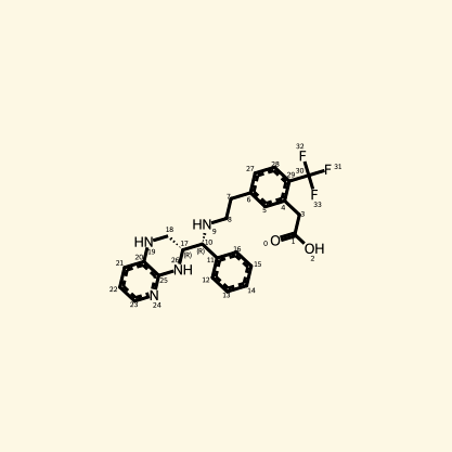 O=C(O)Cc1cc(CCN[C@H](c2ccccc2)[C@H]2CNc3cccnc3N2)ccc1C(F)(F)F